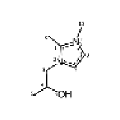 Cc1n(CC(C)O)cc[n+]1C